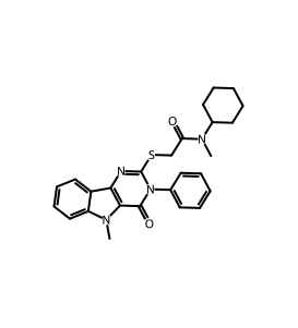 CN(C(=O)CSc1nc2c3ccccc3n(C)c2c(=O)n1-c1ccccc1)C1CCCCC1